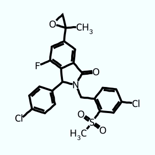 CC1(c2cc(F)c3c(c2)C(=O)N(Cc2ccc(Cl)cc2S(C)(=O)=O)C3c2ccc(Cl)cc2)CO1